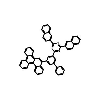 c1ccc(-c2cc(-c3nc(-c4ccc5ccccc5c4)nc(-c4ccc5ccccc5c4)n3)cc(-c3cc4c5ccccc5c5ccccc5c4c4ccccc34)c2)cc1